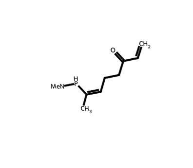 C=CC(=O)CC/C=C(/C)PNC